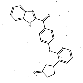 O=C1CCC(c2cccnc2Oc2ccc(C(=O)c3nc4ccccc4[nH]3)cc2)C1